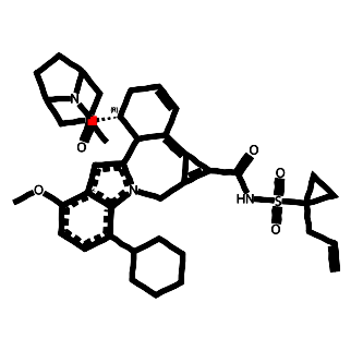 C=CCC1(S(=O)(=O)NC(=O)C2=C3Cn4c(cc5c(OC)ccc(C6CCCCC6)c54)C4C(=C32)C=CC[C@H]4C(=O)N2C3CCC2CN(C)C3)CC1